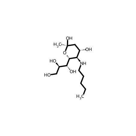 [CH2][C@]1(O)C[C@H](O)[C@@H](NCCCCC)[C@H]([C@H](O)[C@H](O)CO)O1